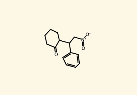 O=C1CCCCC1C(C[N+](=O)[O-])c1ccccc1